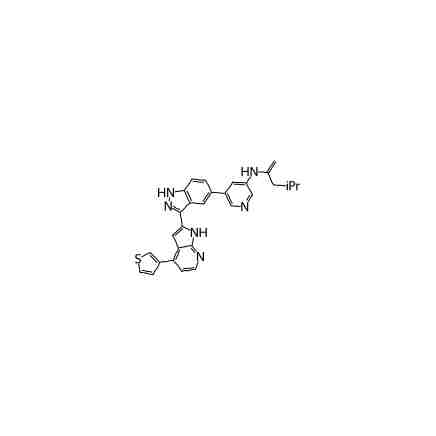 C=C(CC(C)C)Nc1cncc(-c2ccc3[nH]nc(-c4cc5c(-c6ccsc6)ccnc5[nH]4)c3c2)c1